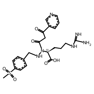 CS(=O)(=O)c1ccc(CNN(C(=O)CC(=O)c2cccnc2)[C@@H](CCCNC(=N)N)C(=O)O)cc1